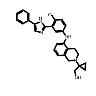 OCC1(N2CCc3c(cccc3Nc3ccc(Cl)c(-c4ncc(-c5ccccc5)[nH]4)c3)C2)CC1